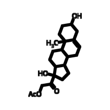 CC(=O)OCC(=O)C1(O)CCC2C3CC=C4CC(O)CCC4(C)C3CCC21